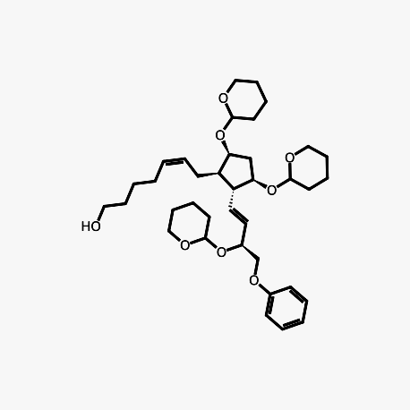 OCCCC/C=C\C[C@@H]1[C@@H](/C=C/[C@@H](COc2ccccc2)OC2CCCCO2)[C@H](OC2CCCCO2)C[C@@H]1OC1CCCCO1